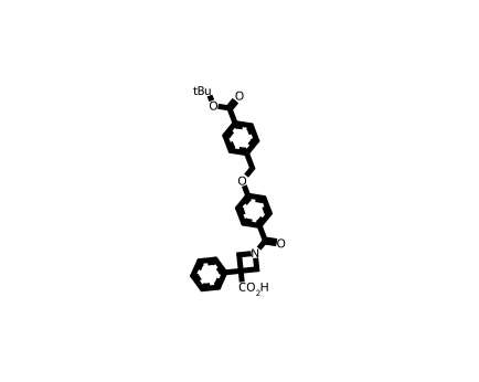 CC(C)(C)OC(=O)c1ccc(COc2ccc(C(=O)N3CC(C(=O)O)(c4ccccc4)C3)cc2)cc1